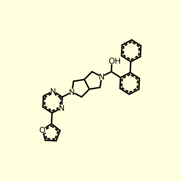 OC(c1ccccc1-c1ccccc1)N1CC2CN(c3nccc(-c4ccco4)n3)CC2C1